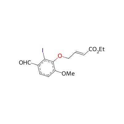 CCOC(=O)/C=C/COc1c(OC)ccc(C=O)c1I